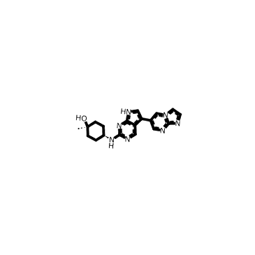 C[C@]1(O)CC[C@H](Nc2ncc3c(-c4cnc5nccn5c4)c[nH]c3n2)CC1